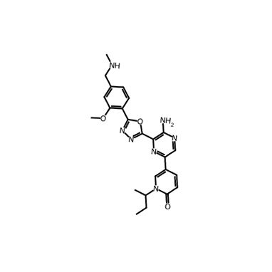 CCC(C)n1cc(-c2cnc(N)c(-c3nnc(-c4ccc(CNC)cc4OC)o3)n2)ccc1=O